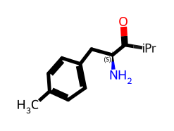 Cc1ccc(C[C@H](N)C(=O)C(C)C)cc1